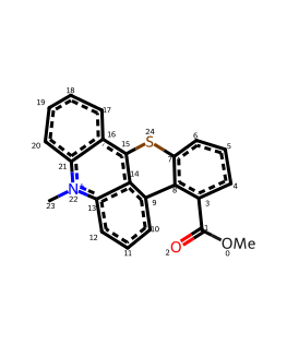 COC(=O)c1cccc2c1-c1cccc3c1c(c1ccccc1[n+]3C)S2